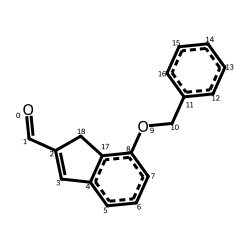 O=CC1=Cc2cccc(OCc3ccccc3)c2C1